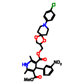 COC(=O)C1=C(C)NC(C)=C(C(=O)OCC2COC3(CCN(c4ccc(Cl)cc4)CC3)O2)C1c1cccc([N+](=O)[O-])c1